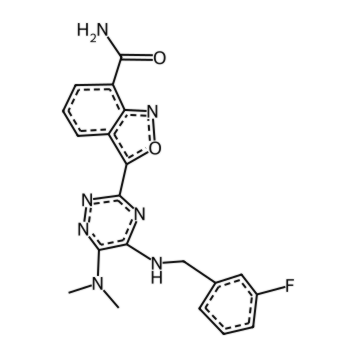 CN(C)c1nnc(-c2onc3c(C(N)=O)cccc23)nc1NCc1cccc(F)c1